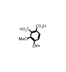 CCOC(=O)c1ccc(OC)c(OC)c1C(=O)O